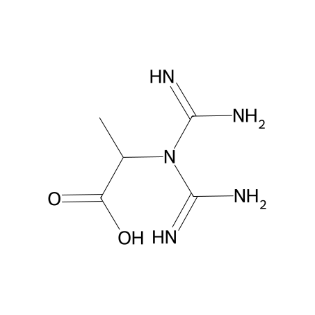 CC(C(=O)O)N(C(=N)N)C(=N)N